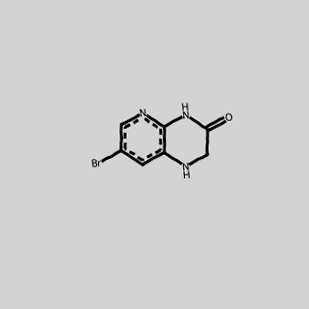 O=C1CNc2cc(Br)cnc2N1